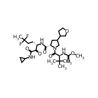 COC(=O)N[C@H](C(=O)N1CC(C2CCOC2)C[C@H]1C(=O)N[C@@H](CCC(C)(F)F)C(=O)C(=O)NC1CC1)C(C)(C)C